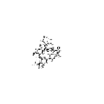 CC(C)n1cnc2cc(-c3ccc4c(c3)N(C3CC(N5CCCCC5)C3)C(=O)C4(C)C)nc(Nc3cc(C(=O)O)c(F)cc3F)c21